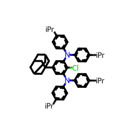 CC(C)c1ccc(N(c2ccc(C(C)C)cc2)c2cc(C34CC5CC(CC(C5)C3)C4)cc(N(c3ccc(C(C)C)cc3)c3ccc(C(C)C)cc3)c2Cl)cc1